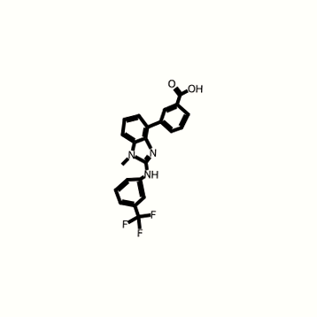 Cn1c(Nc2cccc(C(F)(F)F)c2)nc2c(-c3cccc(C(=O)O)c3)cccc21